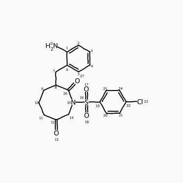 Nc1ccccc1CC1CCCC(=O)CN(S(=O)(=O)c2ccc(Cl)cc2)C1=O